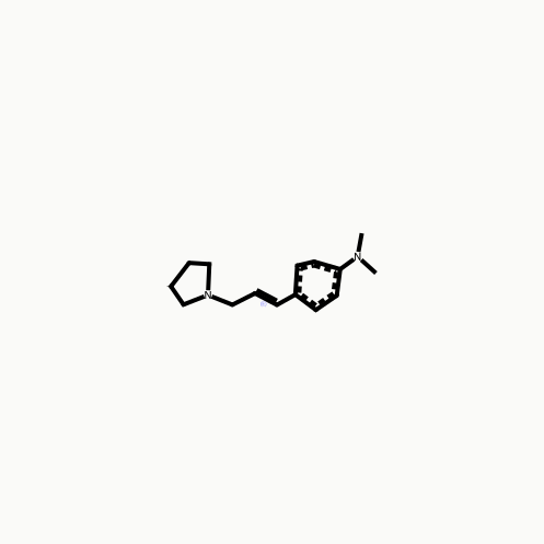 CN(C)c1ccc(/C=C/CN2C[CH]CC2)cc1